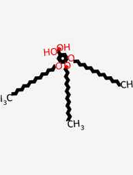 CCCCCCCCCCCCCCCCOc1cc(C(O)O)cc(OCCCCCCCCCCCCCCCC)c1OCCCCCCCCCCCCCCCC